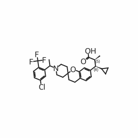 CC(c1cc(Cl)ccc1C(F)(F)F)N1CCC2(CCc3ccc([C@H](C4CC4)[C@H](C)C(=O)O)cc3O2)CC1